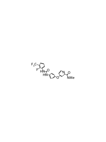 CNC(=O)c1cc(Oc2ccc(NC(=O)Nc3cccc(C(F)(F)F)c3F)cc2)ccn1